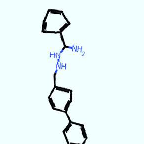 NC(NNCc1ccc(-c2ccccc2)cc1)c1ccccc1